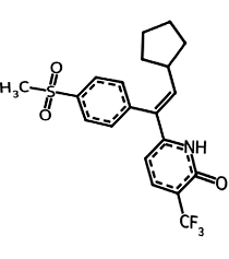 CS(=O)(=O)c1ccc(/C(=C\C2CCCC2)c2ccc(C(F)(F)F)c(=O)[nH]2)cc1